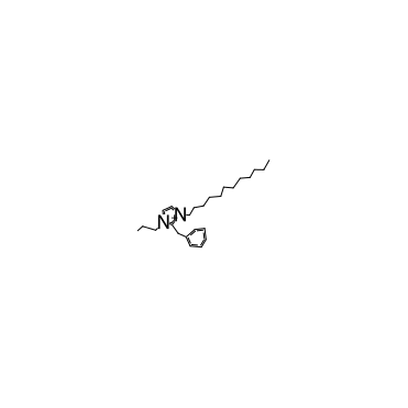 CCCCCCCCCCCCn1cc[n+](CCC)c1Cc1ccccc1